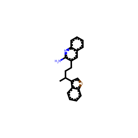 CC(CCc1cc2ccccc2nc1N)c1csc2ccccc12